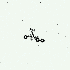 CC(=S)NCCCCC(NC(=O)NCc1ccccc1)c1nc2ccc(-c3ccc(F)cc3)cc2[nH]1